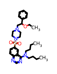 CCCCN(CCCC)c1ncnc2ccc(S(=O)(=O)N3CCN(CC(OCC)c4ccccc4)CC3)cc12